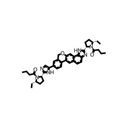 CCCC(=O)N1[C@@H](CC)CC[C@H]1c1ncc(-c2ccc3c(c2)COc2cc4c(ccc5nc([C@@H]6CC[C@H](CC)N6C(=O)CCC)[nH]c54)cc2-3)[nH]1